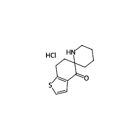 Cl.O=C1c2ccsc2CCC12CCCCN2